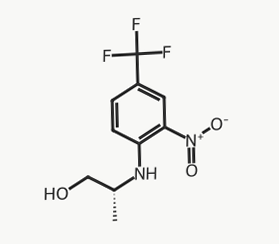 C[C@H](CO)Nc1ccc(C(F)(F)F)cc1[N+](=O)[O-]